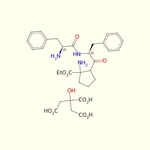 CCOC(=O)C1(N)CCCC1C(=O)[C@H](Cc1ccccc1)NC(=O)[C@@H](N)Cc1ccccc1.O=C(O)CC(O)(CC(=O)O)C(=O)O